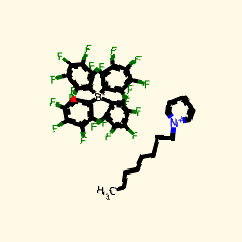 CCCCCCCC[n+]1ccccc1.Fc1c(F)c(F)c([B-](c2c(F)c(F)c(F)c(F)c2F)(c2c(F)c(F)c(F)c(F)c2F)c2c(F)c(F)c(F)c(F)c2F)c(F)c1F